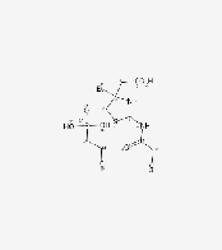 CCC1(CC(=O)O)CSC(NC(=O)CCl)=N1.O=P(O)(O)CCCl